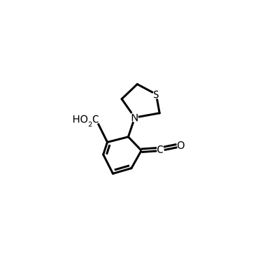 O=C=C1C=CC=C(C(=O)O)C1N1CCSC1